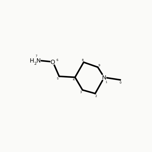 CN1CCC(CON)CC1